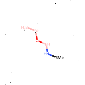 BBOBNSC